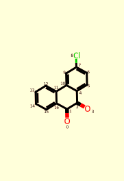 O=C1C(=O)c2ccc(Cl)cc2-c2ccccc21